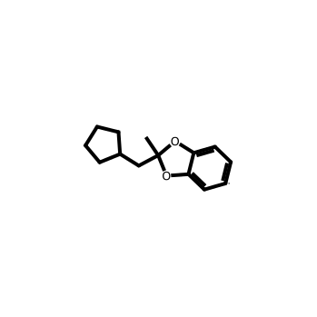 CC1(CC2CCCC2)Oc2c[c]ccc2O1